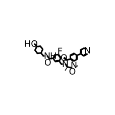 C[C@@H]1C(=O)N(C)c2cc(-c3ccncc3)ccc2C(=O)N1Cc1cc(F)cc(C(=O)NCC2CCC(O)CC2)c1